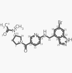 CC(=O)N(C)[C@H]1CCN(C(=O)c2ccc(NCc3cc(Br)cc4[nH]ncc34)nc2)C1